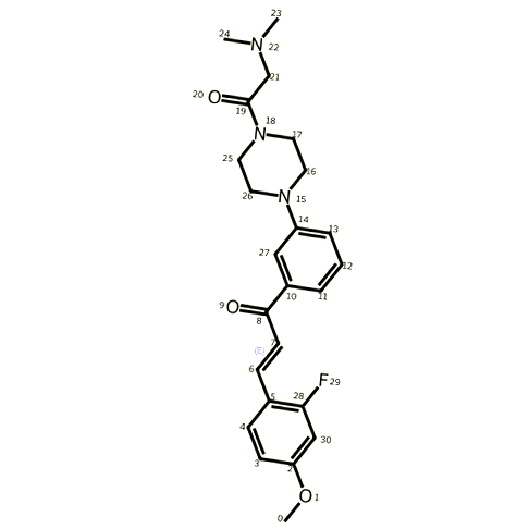 COc1ccc(/C=C/C(=O)c2cccc(N3CCN(C(=O)CN(C)C)CC3)c2)c(F)c1